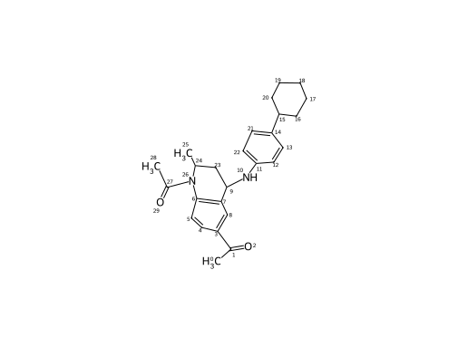 CC(=O)c1ccc2c(c1)C(Nc1ccc(C3CCCCC3)cc1)CC(C)N2C(C)=O